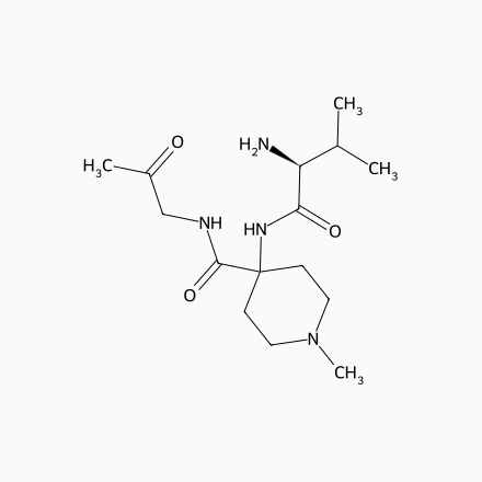 CC(=O)CNC(=O)C1(NC(=O)[C@@H](N)C(C)C)CCN(C)CC1